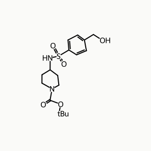 CC(C)(C)OC(=O)N1CCC(NS(=O)(=O)c2ccc(CO)cc2)CC1